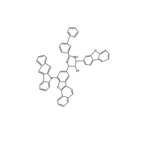 CCC1C(c2cc(-n3c4ccccc4c4cc5ccccc5cc43)c3oc4c5ccccc5ccc4c3c2)N=C(c2cccc(-c3ccccc3)c2)NC1c1ccc2c(c1)oc1ccccc12